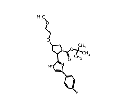 COCCOC1CC(c2nc(-c3ccc(F)cc3)c[nH]2)N(C(=O)OC(C)(C)C)C1